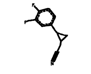 N#CC1CC1c1ccc(F)c(F)c1